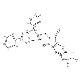 O=C1C(=Cc2nc3sc(-c4ccccc4)cc3n2-c2ccccc2)C(=O)c2cc3cc(Br)c(Br)cc3cc21